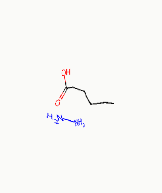 CCCC(=O)O.NN